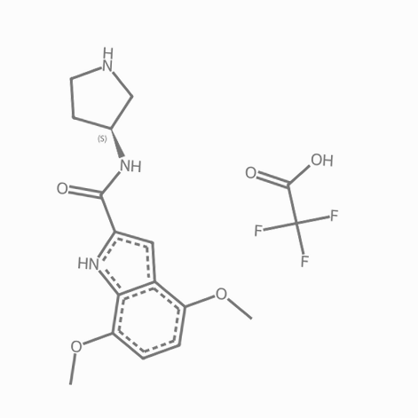 COc1ccc(OC)c2[nH]c(C(=O)N[C@H]3CCNC3)cc12.O=C(O)C(F)(F)F